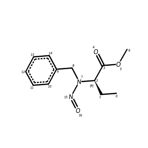 CC[C@H](C(=O)OC)N(Cc1ccccc1)N=O